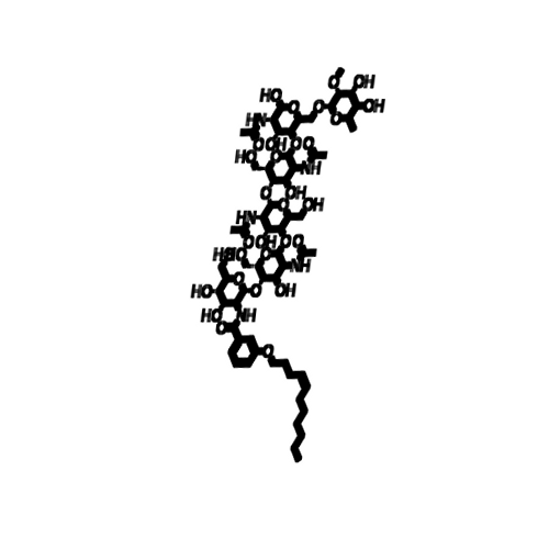 CCCCCC/C=C\CCCOc1cccc(C(=O)NC2[C@H](O[C@H]3C(O)C(NC(C)=O)C(OC4C(CO)O[C@@H](O[C@H]5C(O)C(NC(C)=O)C(OC6C(CO[C@@H]7OC(C)C(O)[C@H](O)[C@H]7OC)OC(O)[C@@H](NC(C)=O)[C@H]6O)O[C@H]5CO)[C@@H](NC(C)=O)[C@H]4O)O[C@H]3CO)OC(CO)[C@@H](O)[C@@H]2O)c1